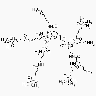 CCOCCOCCNC(=O)C(CCCCNC(=O)C(CCCCNC(=O)C(CCCCN)NC(=O)CCCCC(=O)C(C)(C)C)NC(=O)C(CCCCN)NC(=O)CCCCC(=O)C(C)(C)C)NC(=O)C(CCCNC(=O)C(N)CCCCNC(=O)CCCCC(=O)C(C)(C)C)NC(=O)C(N)CCCCNC(=O)CCCCC(=O)C(C)(C)C